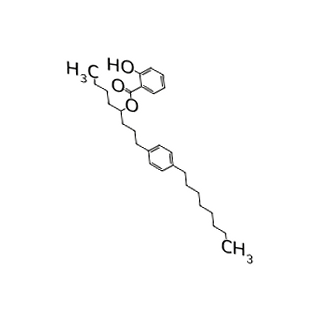 CCCCCCCCc1ccc(CCCC(CCCC)OC(=O)c2ccccc2O)cc1